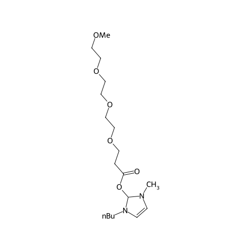 CCCCN1C=CN(C)C1OC(=O)CCOCCOCCOCCOC